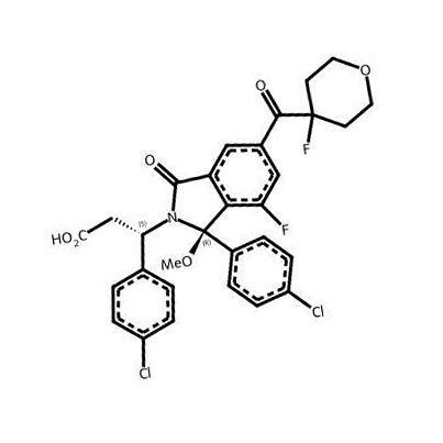 CO[C@]1(c2ccc(Cl)cc2)c2c(F)cc(C(=O)C3(F)CCOCC3)cc2C(=O)N1[C@@H](CC(=O)O)c1ccc(Cl)cc1